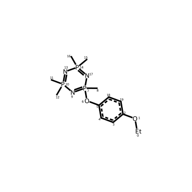 CCOc1ccc(OP2(C)=NP(C)(C)=NP(C)(C)=N2)cc1